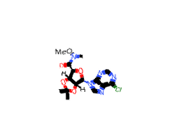 CON(C)C(=O)[C@H]1O[C@@H](n2cnc3c(Cl)ncnc32)[C@@H]2OC(C)(C)O[C@@H]21